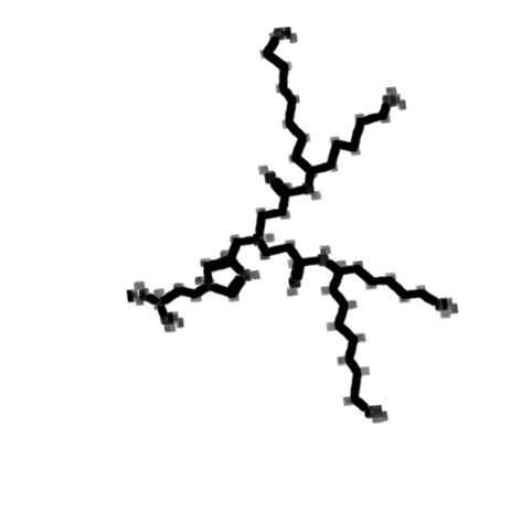 CCCCCCCCC(CCCCCC)OC(=O)CCN(CCC(=O)OC(CCCCCC)CCCCCCCC)Cc1cn(CCN(C)C)cn1